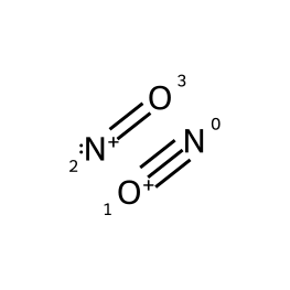 N#[O+].[N+]=O